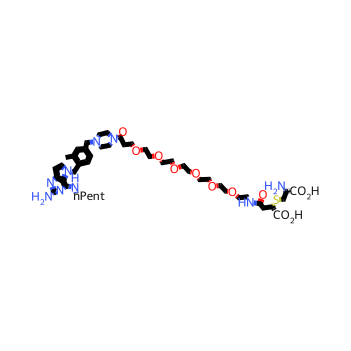 CCCCCNc1nc(N)nc2ccn(Cc3ccc(CN4CCN(C(=O)CCOCCOCCOCCOCCOCCOCCNC(=O)CC(SC[C@H](N)C(=O)O)C(=O)O)CC4)cc3C)c12